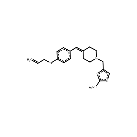 C=CCOc1ccc(C=C2CCN(Cc3cnc(NC(C)=O)s3)CC2)cc1